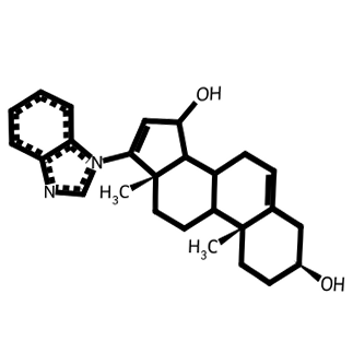 C[C@]12CC[C@H](O)CC1=CCC1C2CC[C@]2(C)C(n3cnc4ccccc43)=CC(O)C12